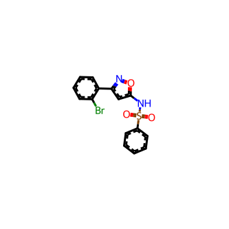 O=S(=O)(Nc1cc(-c2ccccc2Br)no1)c1ccccc1